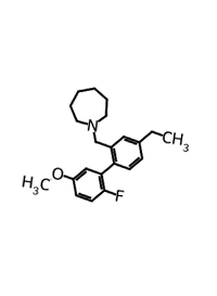 CCc1ccc(-c2cc(OC)ccc2F)c(CN2CCCCCC2)c1